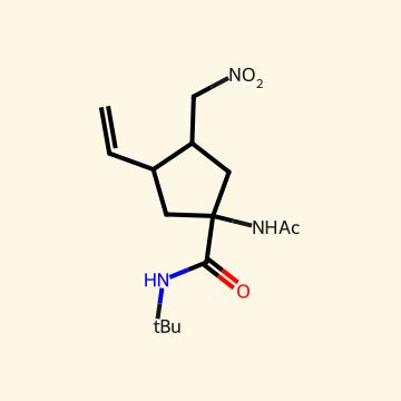 C=CC1CC(NC(C)=O)(C(=O)NC(C)(C)C)CC1C[N+](=O)[O-]